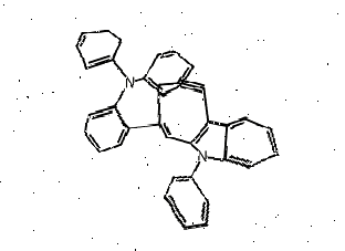 C1#Cc2c(n(-c3ccccc3)c3ccccc23)C=C(c2ccccc2N(C2=CC=CCC2)c2ccccc2)C1